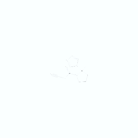 CC1(n2ccnc2)CCCN1C(=N)NC#N